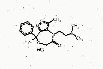 Cc1onc2c1N(CCN(C)C)C(=O)COC2(C)c1ccccc1.Cl